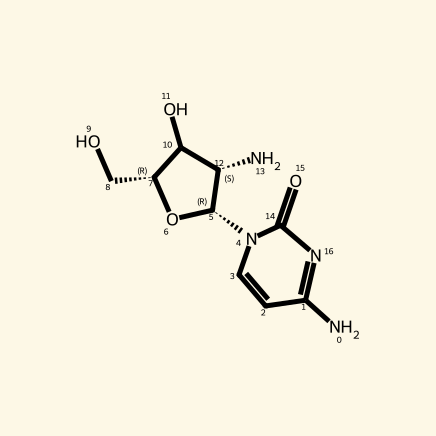 Nc1ccn([C@@H]2O[C@H](CO)C(O)[C@@H]2N)c(=O)n1